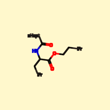 CCCCCCCC(=O)NC(CC(C)C)C(=O)OCCC(C)C